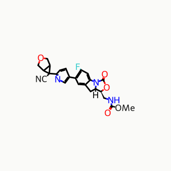 COC(=O)NC[C@@H]1OC(=O)N2c3cc(F)c(-c4ccc(C5(C#N)C6COCC65)nc4)cc3C[C@@H]12